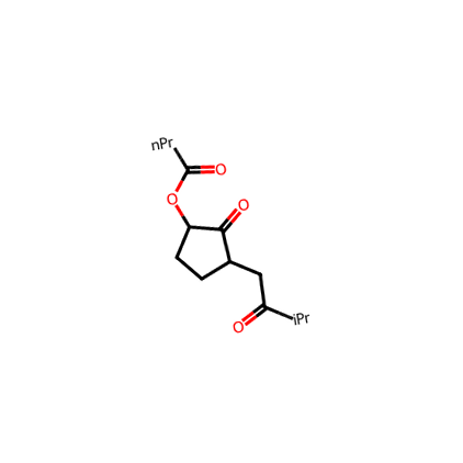 CCCC(=O)OC1CCC(CC(=O)C(C)C)C1=O